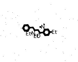 CCc1ccc(C(=O)CC(Cc2cc[c]cc2)N(CC)CC)c(N(C)C)c1